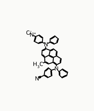 [C-]#[N+]c1ccc(N(c2ccccc2)c2ccc3c(C)cc4c(N(c5ccccc5)c5ccc(C#N)cc5)ccc5ccc2c3c54)cc1